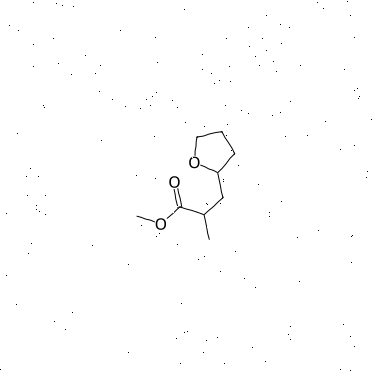 COC(=O)C(C)CC1CCCO1